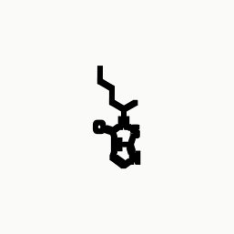 CCCCC(C)n1sc2nccn2c1=O